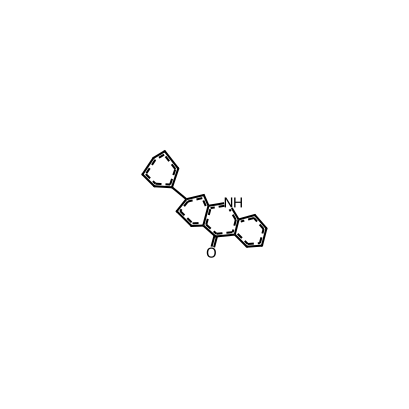 O=c1c2ccccc2[nH]c2cc(-c3ccccc3)ccc12